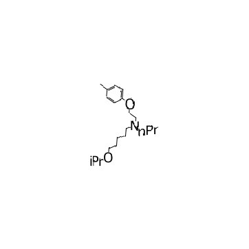 CCCN(CCCCCOC(C)C)CCOc1ccc(C)cc1